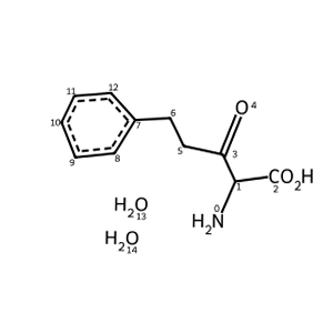 NC(C(=O)O)C(=O)CCc1ccccc1.O.O